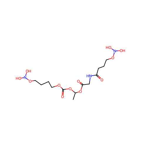 CC(OC(=O)CNC(=O)CCCON(O)O)OC(=O)OCCCCON(O)O